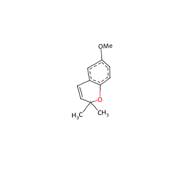 COc1ccc2c(c1)C=CC(C)(C)O2